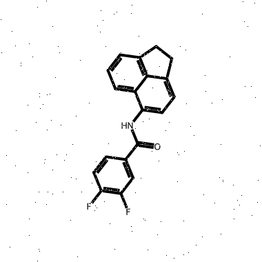 O=C(Nc1ccc2c3c(cccc13)CC2)c1ccc(F)c(F)c1